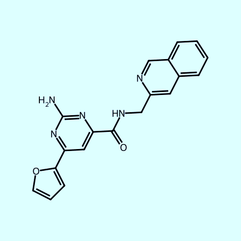 Nc1nc(C(=O)NCc2cc3ccccc3cn2)cc(-c2ccco2)n1